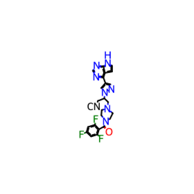 N#CCC(CN1CCN(C(=O)c2c(F)cc(F)cc2F)CC1)n1cc(-c2ncnc3[nH]ccc23)cn1